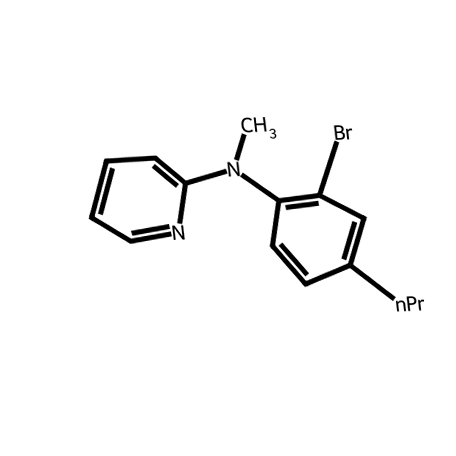 CCCc1ccc(N(C)c2ccccn2)c(Br)c1